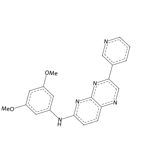 COc1cc(Nc2ccc3ncc(-c4cccnc4)nc3n2)cc(OC)c1